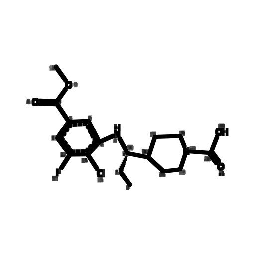 CC[C@H](Nc1cc(C(=O)OC)cc(F)c1Cl)C1CCN(C(=O)O)CC1